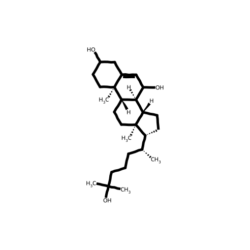 C[C@H](CCCC(C)(C)O)[C@H]1CC[C@H]2[C@@H]3C(O)C=C4CC(O)CC[C@]4(C)[C@H]3CC[C@]12C